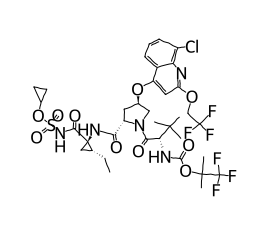 CC[C@@H]1C[C@]1(NC(=O)[C@@H]1C[C@@H](Oc2cc(OCC(F)(F)F)nc3c(Cl)cccc23)CN1C(=O)[C@@H](NC(=O)OC(C)(C)C(F)(F)F)C(C)(C)C)C(=O)NS(=O)(=O)OC1CC1